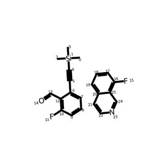 C[Si](C)(C)C#Cc1cccc(F)c1C=O.Fc1cccc2ccncc12